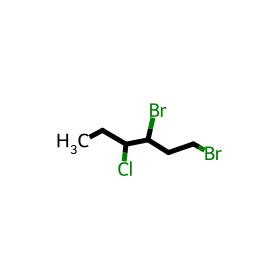 CCC(Cl)[C](Br)CCBr